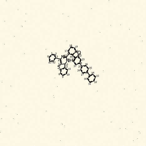 c1ccc(C2=C3Sc4ccccc4C3NC(c3cccc4oc5cc(-c6ccc(-c7ccccc7)cc6)ccc5c34)=N2)cc1